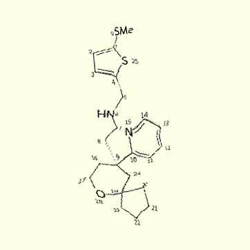 CSc1ccc(CNCC[C@@]2(c3ccccn3)CCOC3(CCCC3)C2)s1